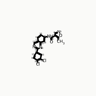 Cc1oncc1C(=O)Nc1ccc2cnc(-c3ccc(Cl)c(Cl)c3)nc2c1